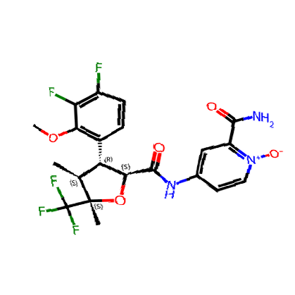 COc1c([C@@H]2[C@@H](C(=O)Nc3cc[n+]([O-])c(C(N)=O)c3)O[C@](C)(C(F)(F)F)[C@H]2C)ccc(F)c1F